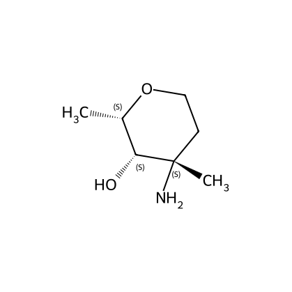 C[C@@H]1OCC[C@](C)(N)[C@@H]1O